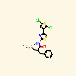 O=C(O)CC(Cc1ccccc1)C(=O)Nc1nc(-c2cc(Cl)sc2Cl)cs1